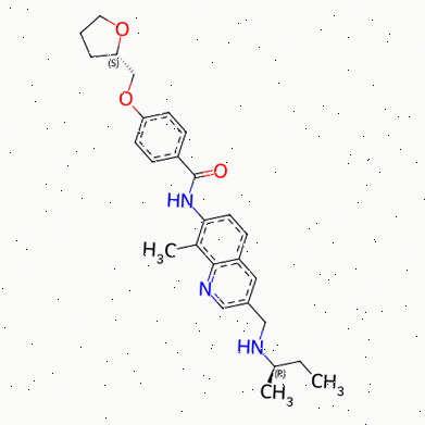 CC[C@@H](C)NCc1cnc2c(C)c(NC(=O)c3ccc(OC[C@@H]4CCCO4)cc3)ccc2c1